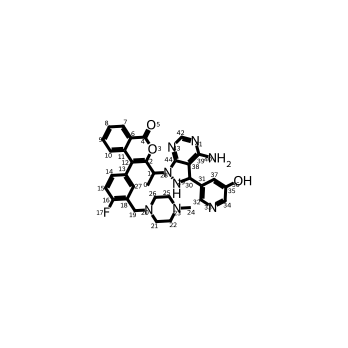 CC(c1oc(=O)c2ccccc2c1-c1ccc(F)c(CN2CCN(C)CC2)c1)N1NC(c2cncc(O)c2)c2c(N)ncnc21